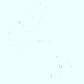 CCNC(=O)CN(CC(N)=O)CC(=O)NCCCC(=O)NCCO[C@H]1O[C@H](CO[C@H]2O[C@H](CO)[C@@H](O)[C@H](O)[C@@H]2O)[C@@H](O)[C@H](O[C@H]2O[C@H](CO)[C@@H](O)[C@H](O)[C@@H]2O)[C@@H]1O